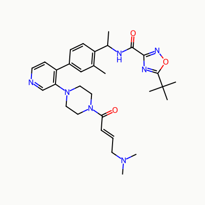 Cc1cc(-c2ccncc2N2CCN(C(=O)C=CCN(C)C)CC2)ccc1C(C)NC(=O)c1noc(C(C)(C)C)n1